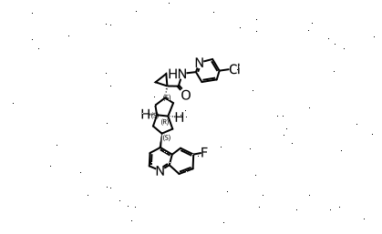 O=C(Nc1ccc(Cl)cn1)C1([C@@H]2C[C@H]3C[C@@H](c4ccnc5ccc(F)cc45)C[C@H]3C2)CC1